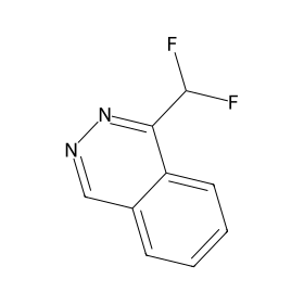 FC(F)c1nncc2ccccc12